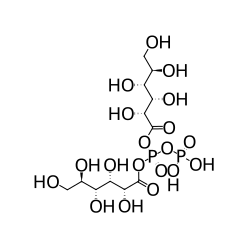 O=C(OP(=O)(OC(=O)[C@H](O)[C@@H](O)[C@H](O)[C@H](O)CO)OP(=O)(O)O)[C@H](O)[C@@H](O)[C@H](O)[C@H](O)CO